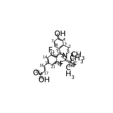 C[C@H]1Cc2cc(O)ccc2[C@H](c2c(F)cc(/C=C/C(=O)O)cc2F)N1CC(C)(C)F